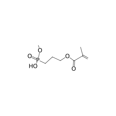 C=C(C)C(=O)OCCCP(=O)(O)OC